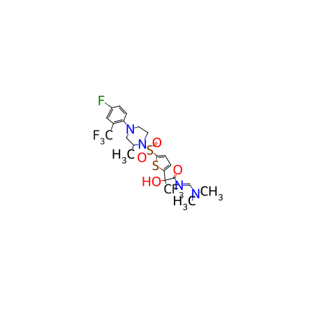 CC1CN(c2ccc(F)cc2C(F)(F)F)CCN1S(=O)(=O)c1ccc(C(O)(C(=O)N=CN(C)C)C(F)(F)F)s1